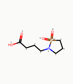 O=C(O)CCCN1CCCS1(=O)=O